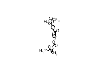 CCCC(=O)N(C)CCC(=O)OCN1C=C2C(=O)N(C3CCN(C(=O)OC(C)(C)C)CC3)CN2C1